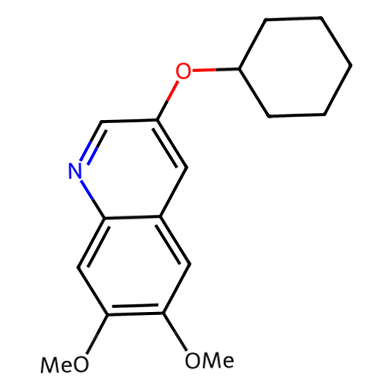 COc1cc2cc(OC3CCCCC3)cnc2cc1OC